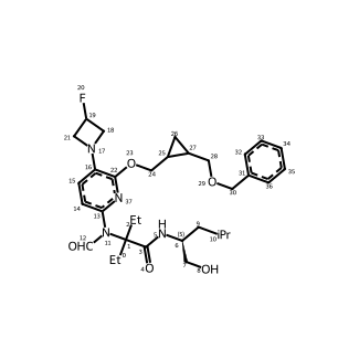 CCC(CC)(C(=O)N[C@H](CO)CC(C)C)N(C=O)c1ccc(N2CC(F)C2)c(OCC2CC2COCc2ccccc2)n1